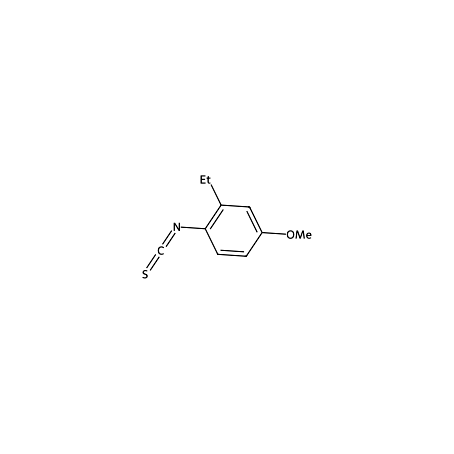 CCc1cc(OC)ccc1N=C=S